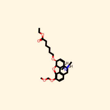 CCOC(=O)CCCCCO[C@H]1C=C[C@H]2[C@H]3Cc4ccc(OCOC)c5c4[C@@]2(CCN3C)C1O5